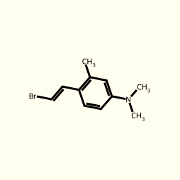 Cc1cc(N(C)C)ccc1C=CBr